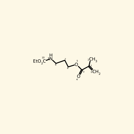 C=C(C)C(=O)OCCCNC(=O)OCC